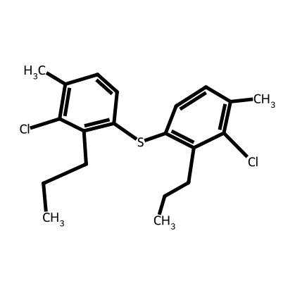 CCCc1c(Sc2ccc(C)c(Cl)c2CCC)ccc(C)c1Cl